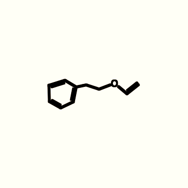 C=COC[CH]c1ccccc1